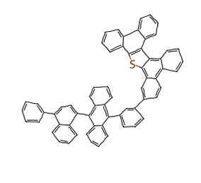 c1ccc(-c2ccc(-c3c4ccccc4c(-c4cccc(-c5ccc6c7ccccc7c7c(sc8c9ccccc9c9ccccc9c87)c6c5)c4)c4ccccc34)c3ccccc23)cc1